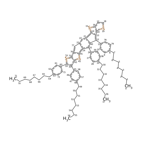 CCCCCCCCc1ccc(C2=c3c(sc4ccsc34)=c3cc4c(c(-c5ccc(CCCCCCCC)cc5)c32)=c2sc3c(-c5ccc(CCCCCCCC)cc5)c(-c5ccc(CCCCCCCC)cc5)sc3c2=C4)cc1